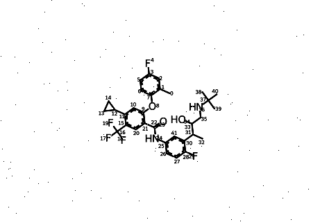 Cc1cc(F)ccc1Oc1cc(C2CC2)c(C(F)(F)F)cc1C(=O)Nc1ccc(F)c(C(C)C(O)CNC(C)(C)C)c1